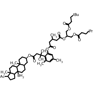 BC12CCC3C[C@H](OC(=O)CC(C)(C)c4c(C)cc(C)cc4OC(=O)CC(C)CC(=O)OC(COC(=O)CCC(C)C)COC(=O)CCC(C)(C)C)CCC3(C)C1CCC1(C)C(C(C)=O)CCC21